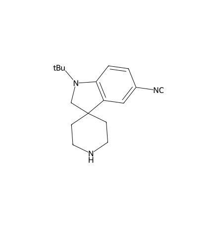 [C-]#[N+]c1ccc2c(c1)C1(CCNCC1)CN2C(C)(C)C